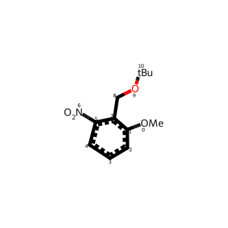 COc1cccc([N+](=O)[O-])c1COC(C)(C)C